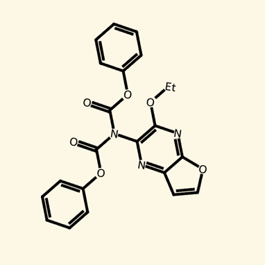 CCOc1nc2occc2nc1N(C(=O)Oc1ccccc1)C(=O)Oc1ccccc1